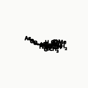 CO[C@@H]1[C@@H](OC(N)=O)[C@@H](O)[C@H](Oc2ccc3c(O)c(NC(=O)c4ccc(C#CCOCCOCCC(C)=O)cc4)c(=O)oc3c2C)OC1(C)C